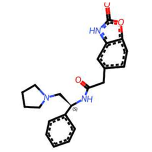 O=C(Cc1ccc2oc(=O)[nH]c2c1)N[C@H](CN1CCCC1)c1ccccc1